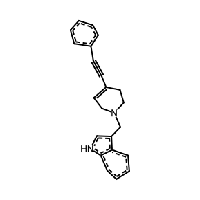 C(#Cc1ccccc1)C1=CCN(Cc2c[nH]c3ccccc23)CC1